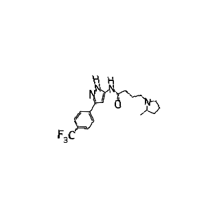 CC1CCCN1CCCC(=O)Nc1cc(-c2ccc(C(F)(F)F)cc2)n[nH]1